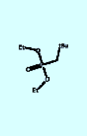 [CH2]C(C)(C)CP(=O)(OCC)OCC